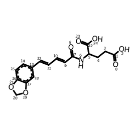 O=C(O)CCC(NC(=O)C=CC=Cc1ccc2c(c1)OCO2)C(=O)O